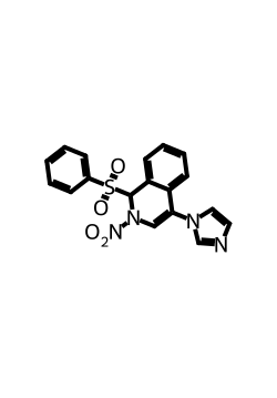 O=[N+]([O-])N1C=C(n2ccnc2)c2ccccc2C1S(=O)(=O)c1ccccc1